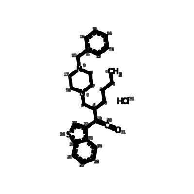 CCCCC(CN1CCN(Cc2ccccc2)CC1)C(=C=O)c1csc2ccccc12.Cl